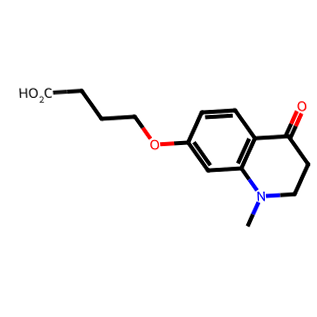 CN1CCC(=O)c2ccc(OCCCC(=O)O)cc21